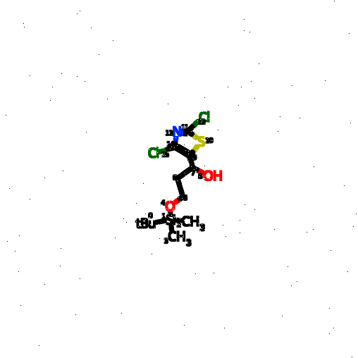 CC(C)(C)[Si](C)(C)OCCC(O)c1sc(Cl)nc1Cl